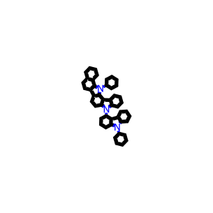 c1ccc(-n2c3ccccc3c3c(-n4c5ccccc5c5c4ccc4c6ccc7ccccc7c6n(-c6ccccc6)c45)cccc32)cc1